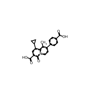 Cc1c(-c2ccc(C(=O)O)cc2)ccn2c(=O)c(C(=O)O)cc(C3CC3)c12